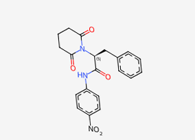 O=C(Nc1ccc([N+](=O)[O-])cc1)[C@H](Cc1ccccc1)N1C(=O)CCCC1=O